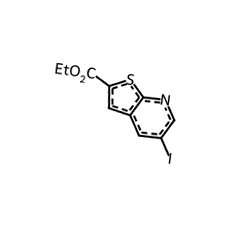 CCOC(=O)c1cc2cc(I)cnc2s1